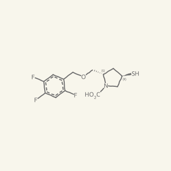 O=C(O)N1C[C@H](S)C[C@H]1COCc1cc(F)c(F)cc1F